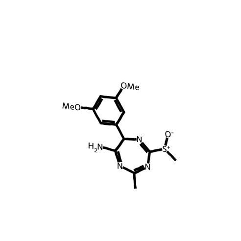 COc1cc(OC)cc(C2N=C([S+](C)[O-])N=C(C)N=C2N)c1